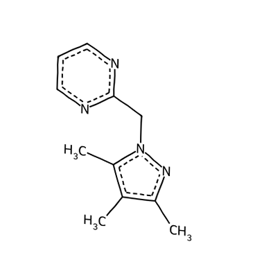 Cc1nn(Cc2ncccn2)c(C)c1C